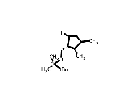 CC1CC(F)[C@@H](CO[Si](C)(C)C(C)(C)C)[C@@H]1C